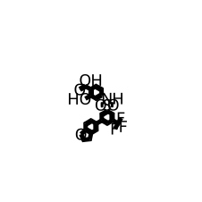 O=C(O)c1ccc(NS(=O)(=O)c2cc(-c3ccc4c(c3)CCO4)cc(C(F)(F)F)c2)cc1O